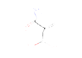 C=C(B(O)O)C(N)=O